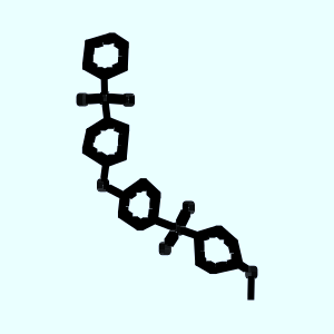 COc1ccc(S(=O)(=O)c2ccc(Oc3ccc(S(=O)(=O)c4ccccc4)cc3)cc2)cc1